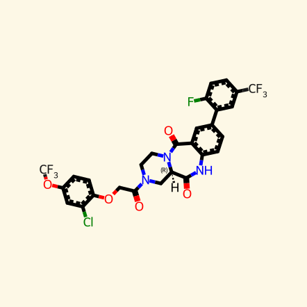 O=C1Nc2ccc(-c3cc(C(F)(F)F)ccc3F)cc2C(=O)N2CCN(C(=O)COc3ccc(OC(F)(F)F)cc3Cl)C[C@H]12